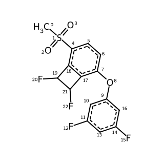 CS(=O)(=O)c1ccc(Oc2cc(F)cc(F)c2)c2c1C(F)C2F